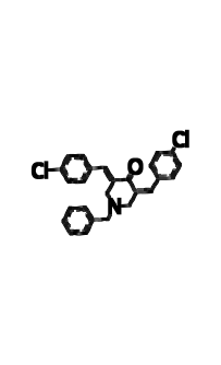 O=C1/C(=C\c2ccc(Cl)cc2)CN(Cc2ccccc2)C/C1=C\c1ccc(Cl)cc1